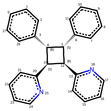 c1ccc([C@@H]2[C@H](c3ccccc3)[C@@H](c3ccccn3)[C@H]2c2ccccn2)cc1